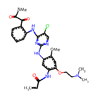 C=CC(=O)Nc1cc(Nc2ncc(Cl)c(Nc3ccccc3C(=O)C(=O)NC)n2)c(OC)cc1OCCN(C)C